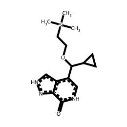 C[Si](C)(C)CCOC(c1c[nH]c(=O)c2n[nH]cc12)C1CC1